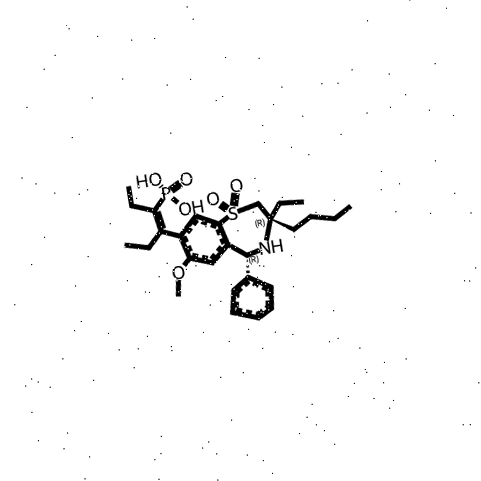 CCCC[C@]1(CC)CS(=O)(=O)c2cc(C(CC)=C(CC)P(=O)(O)O)c(OC)cc2[C@@H](c2ccccc2)N1